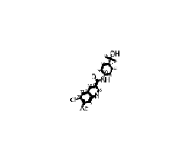 CC(=O)c1cc2ncc(C(=O)N[C@H]3CC[C@H](C(C)(C)O)CC3)cc2cc1Cl